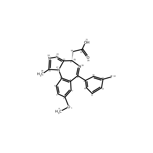 COc1ccc2c(c1)C(c1cccc(F)c1)=N[C@@H](CC(=O)O)c1nnc(C)n1-2